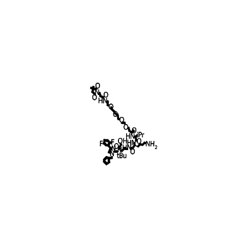 CC(C)C(NC(=O)CCOCCOCCOCCOCCNC(=O)CCN1C(=O)CC(C)(C)C1=O)C(=O)N[C@@H](CCCCN)C(=O)NCCCN(C(=O)CO)[C@@H](c1nc(-c2cc(F)ccc2F)cn1Cc1ccccc1)C(C)(C)C